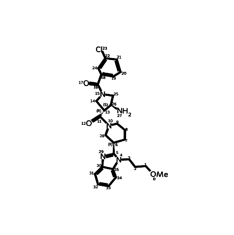 COCCCn1c([C@@H]2CCCN(C(=O)[C@@H]3CN(C(=O)c4cccc(Cl)c4)C[C@H]3N)C2)nc2ccccc21